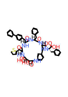 O=C(O)[C@H](Cc1ccccc1)NC(=O)[C@H]1Cc2ccc(cc2)NC(=O)[C@H](O)[C@@H](O)C(=O)N[C@H](CC2=CCCS2)C(=O)N[C@@H](Cc2ccc(-c3ccccc3)cc2)C(=O)N[C@H](Cc2ccccc2)C(=O)N1